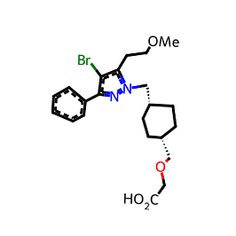 COCCc1c(Br)c(-c2ccccc2)nn1C[C@H]1CC[C@@H](COCC(=O)O)CC1